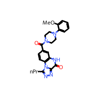 CCCc1nnc2c(=O)[nH]c3cc(C(=O)N4CCN(c5ccccc5OC)CC4)ccc3n12